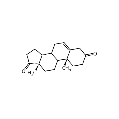 C[C@]12CCC(=O)CC1=CCC1C2CC[C@]2(C)C(=O)CCC12